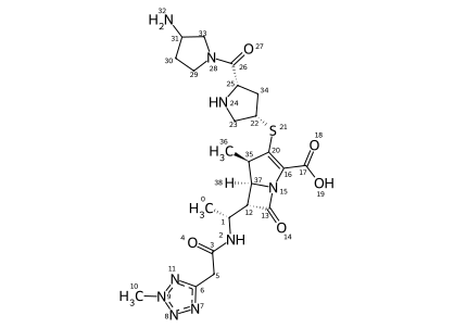 C[C@@H](NC(=O)Cc1nnn(C)n1)[C@H]1C(=O)N2C(C(=O)O)=C(S[C@@H]3CN[C@H](C(=O)N4CCC(N)C4)C3)[C@H](C)[C@H]12